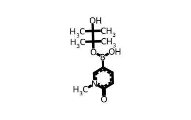 Cn1cc(B(O)OC(C)(C)C(C)(C)O)ccc1=O